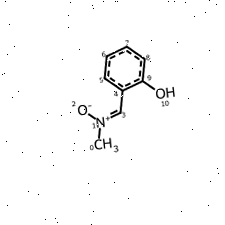 C[N+]([O-])=Cc1ccccc1O